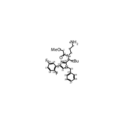 COCC(=O)N(CCCN)C(c1nc(-c2cc(F)ccc2F)cn1Cc1ccccc1)C(C)(C)C